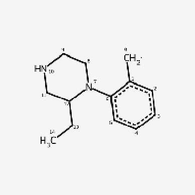 [CH2]c1ccccc1N1CCNCC1CC